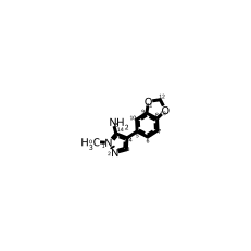 Cn1ncc(-c2ccc3c(c2)OCO3)c1N